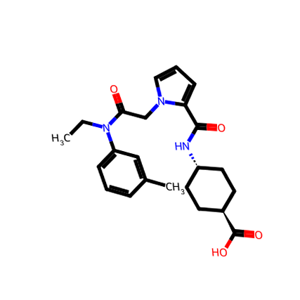 CCN(C(=O)Cn1cccc1C(=O)N[C@H]1CC[C@H](C(=O)O)CC1)c1cccc(C)c1